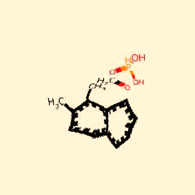 C=O.Cc1ccc2ccccc2c1C.O=[PH](O)O